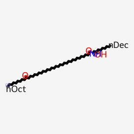 CCCCCCCC/C=C\CCCCCCCC(=O)CCCCCCCCCCCCCCCCCCCCCCCCCCCCCC(=O)NC[C@H](O)CCCCCCCCCCCCCCCC